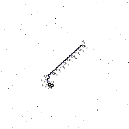 CC(C)=CCC/C(C)=C/CC/C(C)=C/CC/C(C)=C/CC/C(C)=C/CC/C(C)=C/CC/C(C)=C/CC/C(C)=C/CC/C(C)=C/CC/C(C)=C/CC/C(C)=C/Cc1c(C)c(O)c2ccccc2c1O